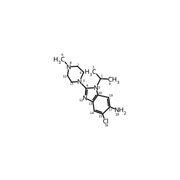 CC(C)n1c(N2CCN(C)CC2)nc2cc(Cl)c(N)cc21